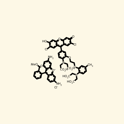 COC(=O)c1ccccc1-c1c2ccc(N)cc2[o+]c2cc(N)ccc12.Cc1ccc(N(CC(=O)O)CC(=O)O)c(OCCOc2cc(-c3c4cc(Cl)c(=O)cc-4oc4cc(O)c(Cl)cc34)ccc2N(CC(=O)O)CC(=O)O)c1.[Cl-]